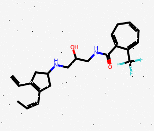 C=CC1=C(/C=C\C)CC(NCC(O)CNC(=O)C2=CCC=CC=C2C(F)(F)F)C1